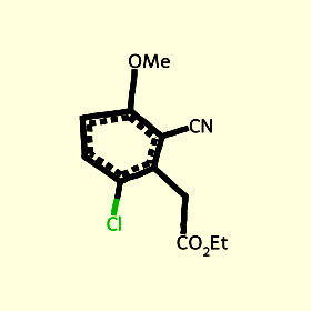 CCOC(=O)Cc1c(Cl)ccc(OC)c1C#N